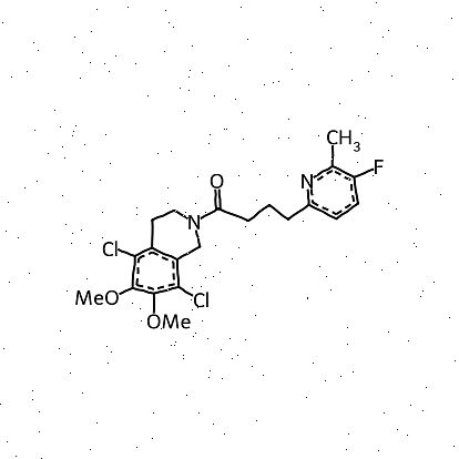 COc1c(Cl)c2c(c(Cl)c1OC)CN(C(=O)CCCc1ccc(F)c(C)n1)CC2